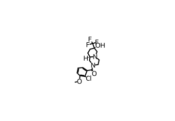 COc1cccc(C(=O)N2CCN3C[C@@](O)(C(F)(F)F)CC[C@@H]3C2)c1Cl